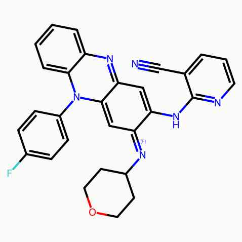 N#Cc1cccnc1Nc1cc2nc3ccccc3n(-c3ccc(F)cc3)c-2c/c1=N\C1CCOCC1